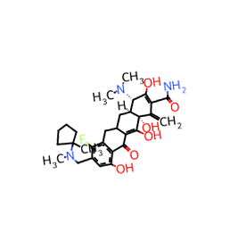 C=C1C(C(N)=O)=C(O)[C@@H](N(C)C)[C@@H]2CC3Cc4c(F)c(CN(C)C5(C)CCCC5)cc(O)c4C(=O)C3=C(O)[C@]12O